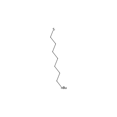 CCCCCCCCCCC[S]